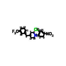 O=[N+]([O-])c1ccc(N2CCC(Cc3cccc(C(F)(F)F)c3)CC2)c(Cl)c1